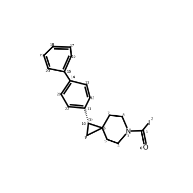 O=C(I)N1CCC2(CC1)C[C@@H]2c1ccc(-c2ccccc2)cc1